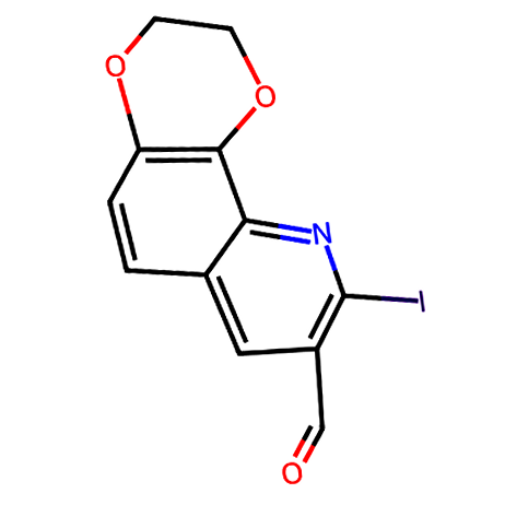 O=Cc1cc2ccc3c(c2nc1I)OCCO3